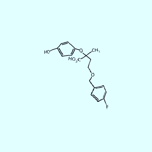 CC(CCOCc1ccc(F)cc1)(Oc1ccc(O)cc1)C(=O)O